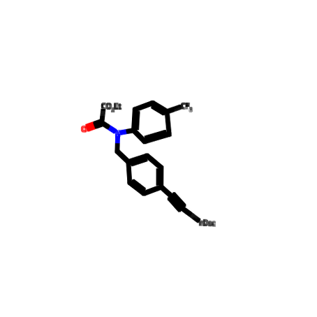 CCCCCCCCCCC#Cc1ccc(CN(C(=O)C(=O)OCC)c2ccc(C(F)(F)F)cc2)cc1